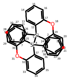 c1ccc([Si]2([Si]3(c4ccccc4)c4ccccc4Oc4ccccc43)c3ccccc3Oc3ccccc32)cc1